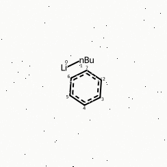 [Li][CH2]CCC.[c]1ccccc1